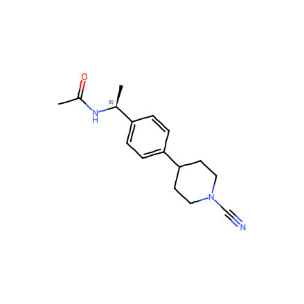 CC(=O)N[C@@H](C)c1ccc(C2CCN(C#N)CC2)cc1